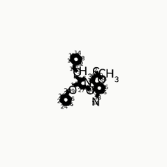 CC1(C)C=C(n2cc(COCc3ccccc3)c(COCc3ccccc3)cc2=O)c2cc(C#N)ccc2O1